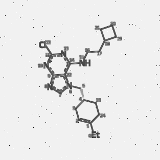 CCC1=CC[C@H](Cn2cnc3nc(Cl)nc(NCCC4CCC4)c32)CC1